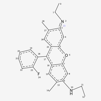 CC/N=c1/cc2oc3cc(NCC)c(C)cc3c(-c3ccccc3F)c-2cc1C